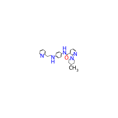 CC1CCN(c2ncccc2C(=O)Nc2ccc(NCCc3ccccn3)cc2)CC1